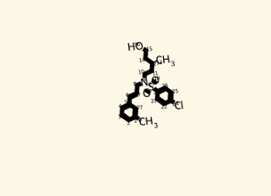 Cc1cccc(C=CCN(CC[C@@H](C)CCO)S(=O)(=O)c2ccc(Cl)cc2)c1